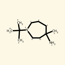 CC1(N)CCCN(C(C)(C)C)CC1